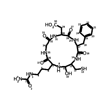 NC(=O)NCCCC1NC(O)C(CS)NC(=O)C(Cc2ccccc2)NC(=O)C(CC(=O)O)NC(=O)CNC1=O